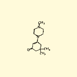 CN1CCN(C2=CC(=O)CC(C)(C)C2)CC1